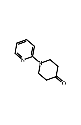 O=C1CCN(c2ccccn2)CC1